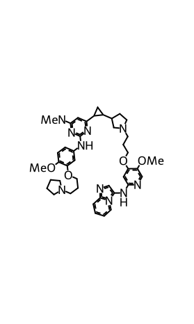 CNc1cc(C2CC2C2CCN(CCCOc3cc(Nc4cnc5ccccn45)ncc3OC)C2)nc(Nc2ccc(OC)c(OCCCN3CCCC3)c2)n1